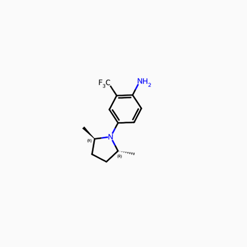 C[C@@H]1CC[C@@H](C)N1c1ccc(N)c(C(F)(F)F)c1